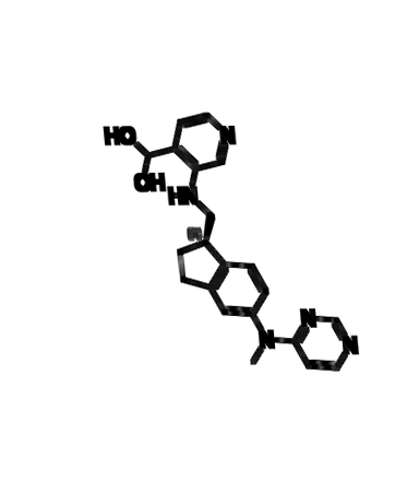 CN(c1ccc2c(c1)CC[C@H]2CNc1cnccc1C(O)O)c1ccncn1